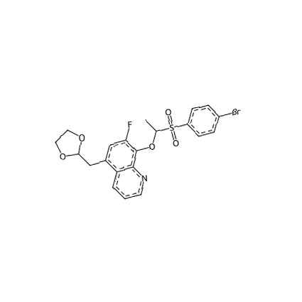 CC(Oc1c(F)cc(CC2OCCO2)c2cccnc12)S(=O)(=O)c1ccc(Br)cc1